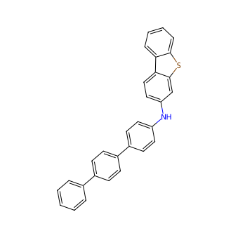 c1ccc(-c2ccc(-c3ccc(Nc4ccc5c(c4)sc4ccccc45)cc3)cc2)cc1